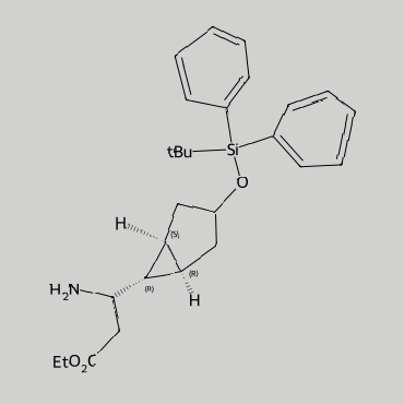 CCOC(=O)CC(N)[C@H]1[C@@H]2CC(O[Si](c3ccccc3)(c3ccccc3)C(C)(C)C)C[C@@H]21